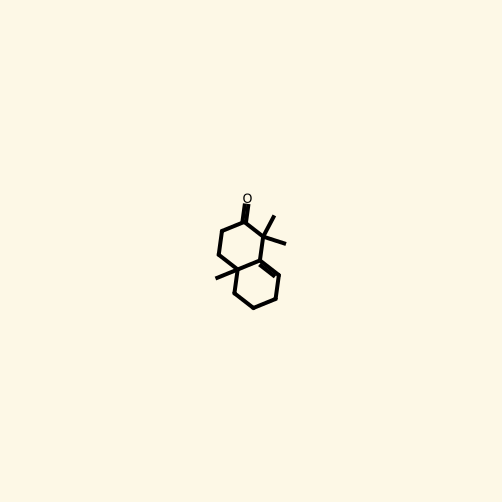 CC12CCCC=C1C(C)(C)C(=O)CC2